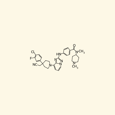 CN1CCC(N(C)C(=O)c2ccc(Nc3nc4c(N5CCC(CC#N)(c6ccc(Cl)c(F)c6)CC5)cccn4n3)cc2)CC1